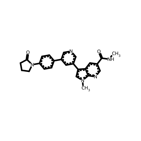 CNC(=O)c1cnc2c(c1)c(-c1cncc(-c3ccc(N4CCCC4=O)cc3)c1)cn2C